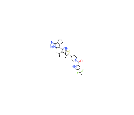 Cc1c(C2CCN(C(=O)[C@@H]3C[C@H](C(C)(F)F)CN3)CC2)sc2[nH]c(-c3cn4ncnc4c4c3CCC4)c(C(C)C)c12